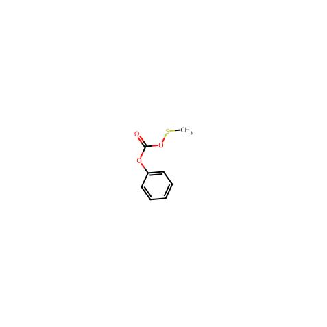 CSOC(=O)Oc1ccccc1